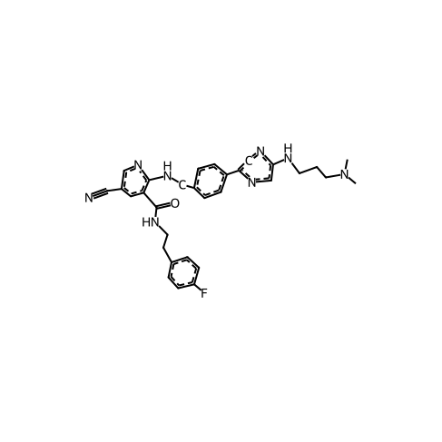 CN(C)CCCNc1cnc(-c2ccc(CNc3ncc(C#N)cc3C(=O)NCCc3ccc(F)cc3)cc2)cn1